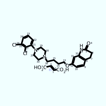 O=C(O)/C=C/C(=O)O.O=C1CCc2ccc(OCCCCN3CCN(c4cccc(Cl)c4Cl)CC3)cc2N1